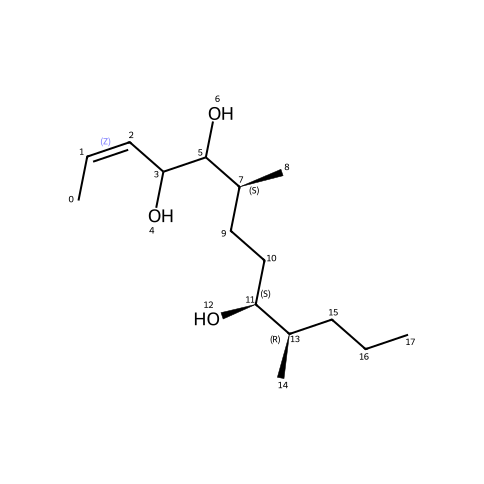 C/C=C\C(O)C(O)[C@@H](C)CC[C@H](O)[C@H](C)CCC